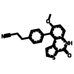 COc1ccc2[nH]c(=O)c3sccc3c2c1-c1ccc(CCC#N)cc1